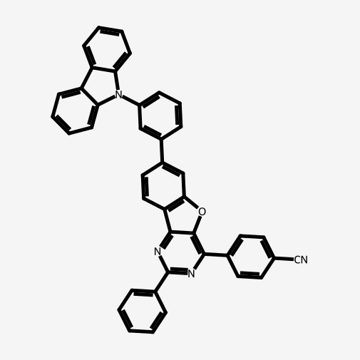 N#Cc1ccc(-c2nc(-c3ccccc3)nc3c2oc2cc(-c4cccc(-n5c6ccccc6c6ccccc65)c4)ccc23)cc1